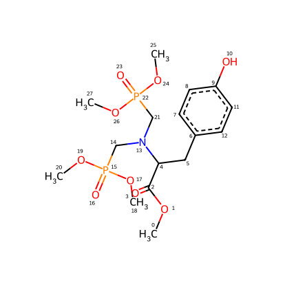 COC(=O)C(Cc1ccc(O)cc1)N(CP(=O)(OC)OC)CP(=O)(OC)OC